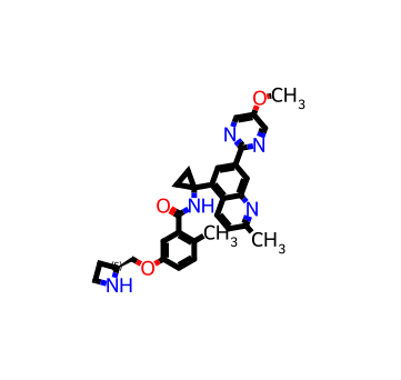 COc1cnc(-c2cc(C3(NC(=O)c4cc(OC[C@@H]5CCN5)ccc4C)CC3)c3ccc(C)nc3c2)nc1